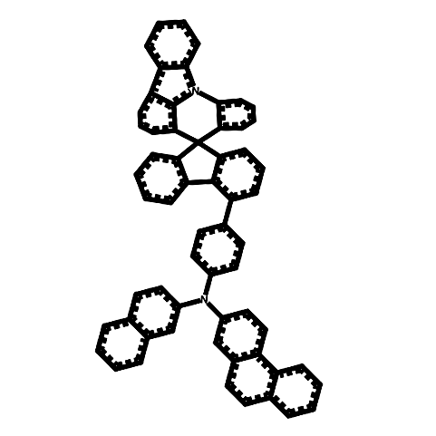 c1ccc2c(c1)-c1c(-c3ccc(N(c4ccc5ccccc5c4)c4ccc5c(ccc6ccccc65)c4)cc3)cccc1C21c2ccccc2-n2c3ccccc3c3cccc1c32